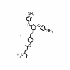 C=C/C(N)=C\C=C(/C)Oc1ccc(CCc2cc(Oc3ccc(N)cc3)cc(Oc3ccc(N)cc3)c2)cc1